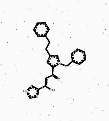 O=C(C=C(O)c1nc[nH]n1)c1cc(CCc2ccccc2)cn1Cc1ccccc1